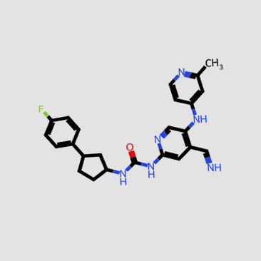 Cc1cc(Nc2cnc(NC(=O)NC3CCC(c4ccc(F)cc4)C3)cc2C=N)ccn1